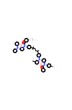 CC(C)Cc1ccc2c(c1)N(c1ccc(C(C)CCC(C)(C)c3ccc(N4c5cccc6c5B(c5ccccc5N6c5ccccc5)c5oc6ccc(C(C)(C)C)cc6c54)cc3)cc1)c1cccc3c1B2c1oc2ccccc2c1N3c1ccc(C(C)C)cc1